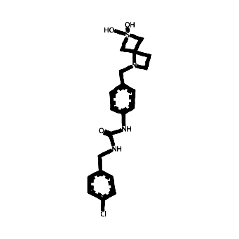 O=C(NCc1ccc(Cl)cc1)Nc1ccc(CN2CCC23CS(O)(O)C3)cc1